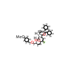 COc1ccc(COCC/C=C\C(O)/C(F)=C\[C@H](C)[C@H](C)O[Si](c2ccccc2)(c2ccccc2)C(C)(C)C)cc1